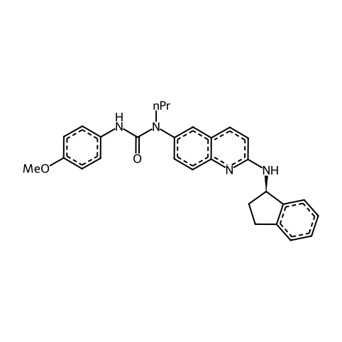 CCCN(C(=O)Nc1ccc(OC)cc1)c1ccc2nc(N[C@@H]3CCc4ccccc43)ccc2c1